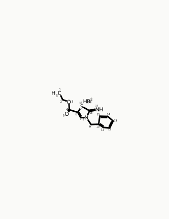 Br.CCOC(=O)c1cn(Cc2ccccc2)c(=N)s1